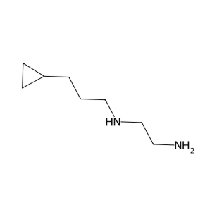 NCCNCCCC1CC1